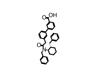 O=C(O)c1cccc(-c2cccc(CC(=O)N(Cc3ccccc3)[C@@H]3CCCC[C@H]3Cc3ccccc3)c2)c1